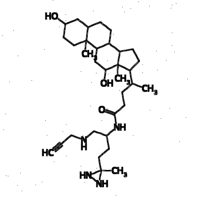 C#CCNCC(CCC1(C)NN1)NC(=O)CCC(C)C1CCC2C3CCC4CC(O)CCC4(C)C3CC(O)C12C